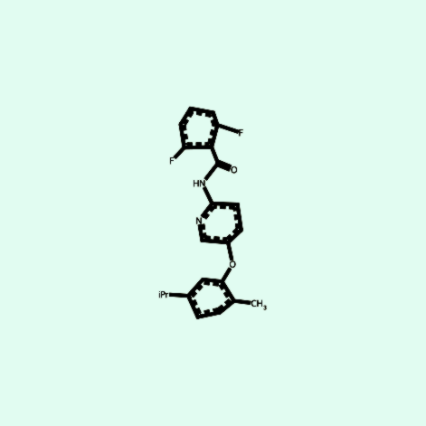 Cc1ccc(C(C)C)cc1Oc1ccc(NC(=O)c2c(F)cccc2F)nc1